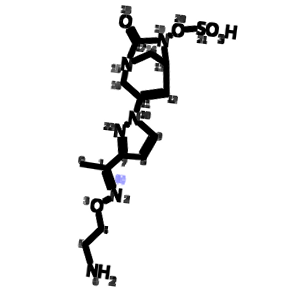 C/C(=N\OCCN)c1ccn(C2=CC3CN(C2)C(=O)N3OS(=O)(=O)O)n1